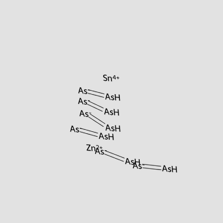 [As-]=[AsH].[As-]=[AsH].[As-]=[AsH].[As-]=[AsH].[As-]=[AsH].[As-]=[AsH].[Sn+4].[Zn+2]